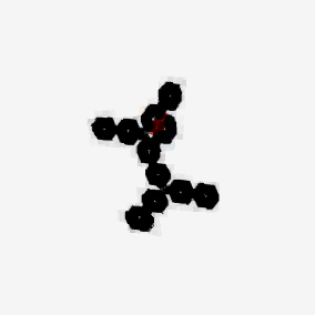 C1=CC(N(c2ccc(-c3ccccc3)cc2)c2ccc(-c3ccc(N(c4ccc(-c5ccccc5)cc4)c4ccc(-c5ccccc5)cc4)cc3)cc2-c2ccccc2)CC=C1c1ccccc1